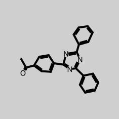 CC(=O)c1ccc(-c2nc(-c3ccccc3)nc(-c3ccccc3)n2)cc1